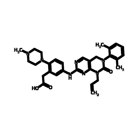 C=CCN1C(=O)N(c2c(C)cccc2C)Cc2cnc(Nc3ccc(N4CCN(C)CC4)c(CC(=O)O)c3)nc21